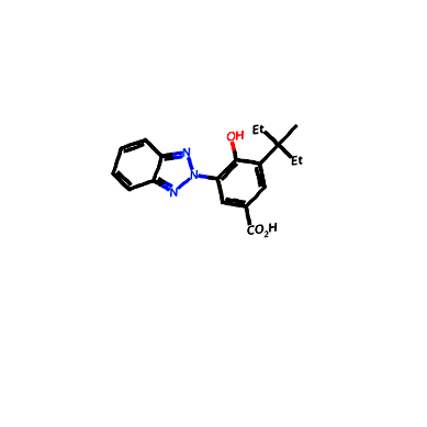 CCC(C)(CC)c1cc(C(=O)O)cc(-n2nc3ccccc3n2)c1O